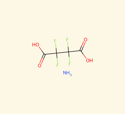 N.O=C(O)C(F)(F)C(F)(F)C(=O)O